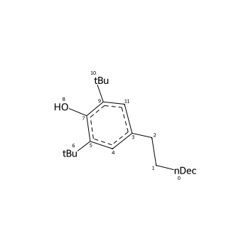 CCCCCCCCCCCCc1cc(C(C)(C)C)c(O)c(C(C)(C)C)c1